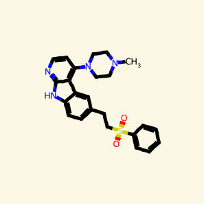 CN1CCN(c2ccnc3[nH]c4ccc(CCS(=O)(=O)c5ccccc5)cc4c23)CC1